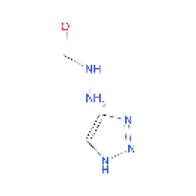 NNC=O.c1c[nH]nn1